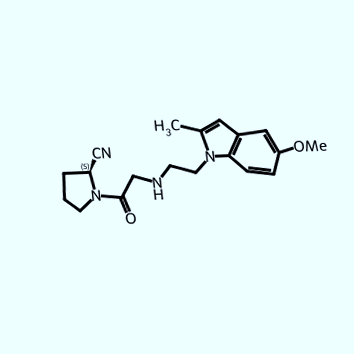 COc1ccc2c(c1)cc(C)n2CCNCC(=O)N1CCC[C@H]1C#N